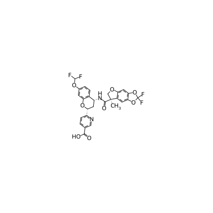 C[C@]1(C(=O)N[C@@H]2C[C@H](c3ccc(C(=O)O)cn3)Oc3cc(OC(F)F)ccc32)COc2cc3c(cc21)OC(F)(F)O3